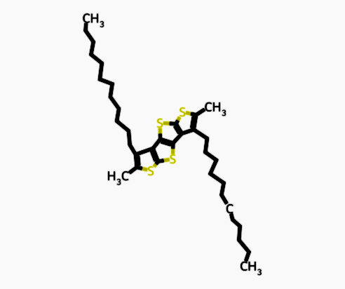 CCCCCCCCCCCCc1c(C)sc2sc3c(sc4sc(C)c(CCCCCCCCCCCC)c43)c12